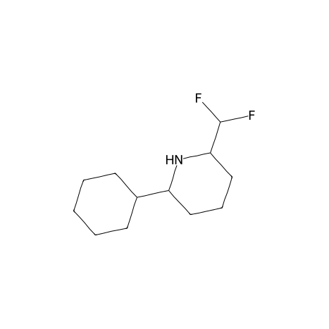 FC(F)C1CCCC(C2CCCCC2)N1